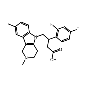 Cc1ccc2c(c1)c1c(n2CC(CC(=O)O)c2ccc(F)cc2F)CCN(C)C1